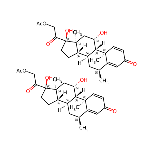 CC(=O)OCC(=O)[C@@]1(O)CC[C@H]2[C@@H]3C[C@H](C)C4=CC(=O)C=C[C@]4(C)[C@H]3[C@@H](O)C[C@@]21C.CC(=O)OCC(=O)[C@@]1(O)CC[C@H]2[C@@H]3C[C@H](C)C4=CC(=O)C=C[C@]4(C)[C@H]3[C@@H](O)C[C@@]21C